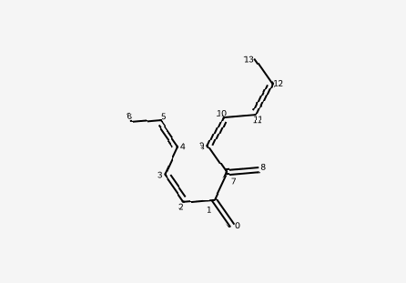 C=C(/C=C\C=C/C)C(=C)/C=C\C=C/C